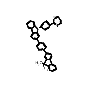 CC1(C)c2ccccc2-c2ccc(-c3ccc(-c4ccc5c6ccccc6n(-c6ccc(-c7ncccn7)cc6)c5c4)cc3)cc21